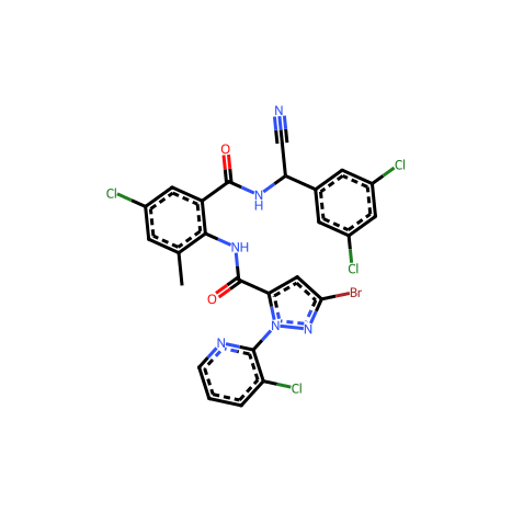 Cc1cc(Cl)cc(C(=O)NC(C#N)c2cc(Cl)cc(Cl)c2)c1NC(=O)c1cc(Br)nn1-c1ncccc1Cl